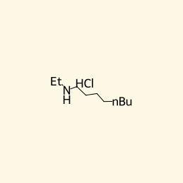 CCCCCCCCNCC.Cl